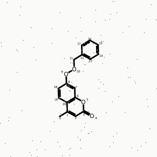 Cc1cc(=O)oc2cc(OOCc3ccccc3)ccc12